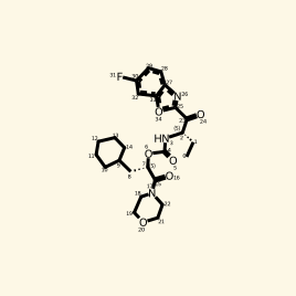 CC[C@H](NC(=O)O[C@@H](CC1CCCCC1)C(=O)N1CCOCC1)C(=O)c1nc2ccc(F)cc2o1